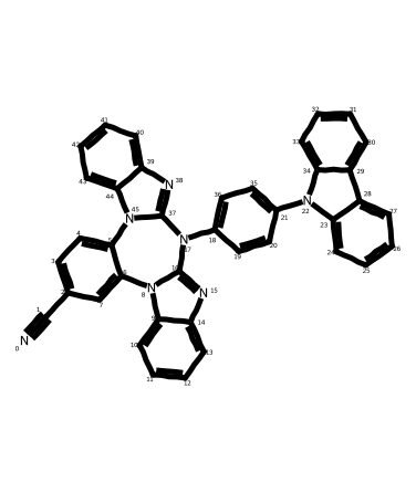 N#Cc1ccc2c(c1)n1c3ccccc3nc1n(-c1ccc(-n3c4ccccc4c4ccccc43)cc1)c1nc3ccccc3n21